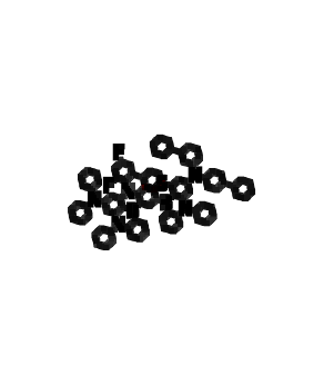 Fc1cc(F)c(N2c3cc4c(cc3B3c5ccccc5N(c5ccccc5)c5cc(N(c6ccccc6)c6ccccc6)cc2c53)B2c3ccccc3N(c3ccccc3)c3cc(N(c5ccc(-c6ccccc6)cc5)c5cccc(-c6ccccc6)c5)cc(c32)S4)c(-c2ccccc2)c1